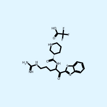 N=C(N)NCCCC(NC(=O)[C@H]1CCCNC1)C(=O)c1nc2ccccc2s1.O=C(O)C(F)(F)F